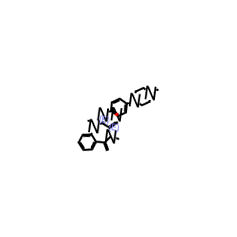 C=N/C=C1\C(=N/c2ccc(N3CCN(C)CC3)cc2)N(C)c2ccccc2C(=C)N1C